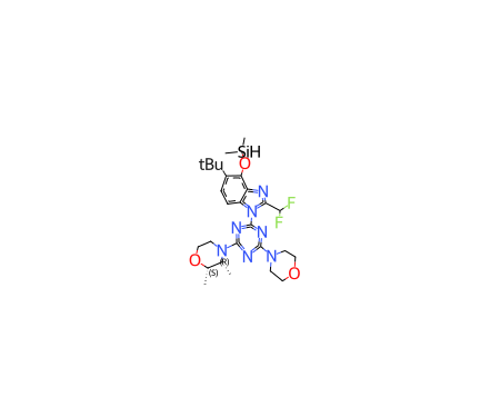 C[C@@H]1OCCN(c2nc(N3CCOCC3)nc(-n3c(C(F)F)nc4c(O[SiH](C)C)c(C(C)(C)C)ccc43)n2)[C@@H]1C